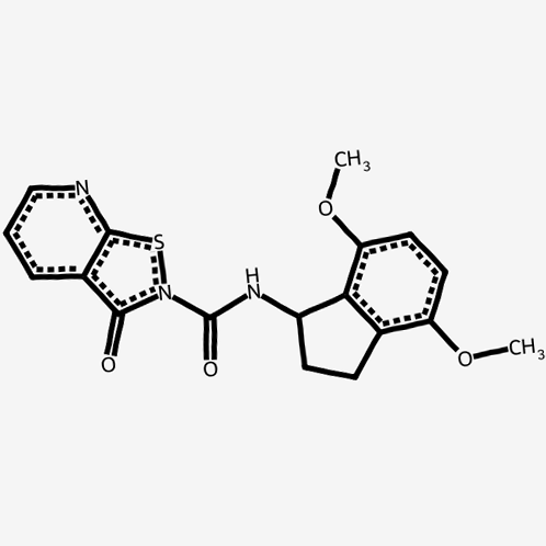 COc1ccc(OC)c2c1CCC2NC(=O)n1sc2ncccc2c1=O